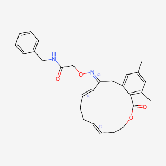 Cc1cc(C)c2c(c1)CC(=N/OCC(=O)NCc1ccccc1)/C=C/CC/C=C/CCOC2=O